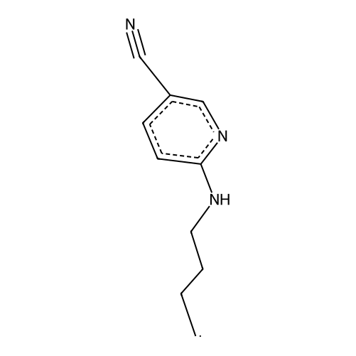 [CH2]CCCNc1ccc(C#N)cn1